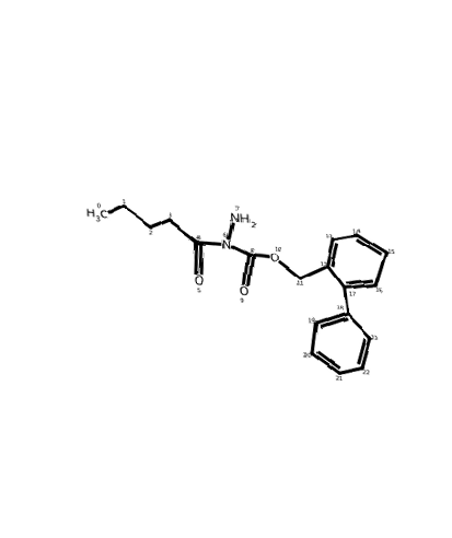 CCCCC(=O)N(N)C(=O)OCc1ccccc1-c1ccccc1